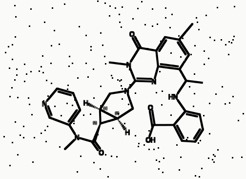 Cc1cc(C(C)Nc2ccccc2C(=O)O)c2nc(N3C[C@@H]4[C@H](C3)[C@@H]4C(=O)N(C)c3cccnc3)n(C)c(=O)c2c1